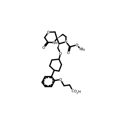 CC(C)(C)OC(=O)N1CC[C@@]2(COCC(=O)N2)[C@@H]1COC1CCC(c2ccccc2OCCC(=O)O)CC1